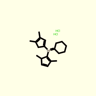 CC1=C(C)C[C]([Hf]([C]2=C(C)C=CC2C)=[C]2CCCCC2)=C1.Cl.Cl